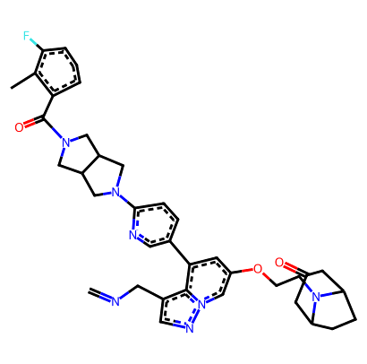 C=NCc1cnn2cc(OCCN3C4CCC3CC(=O)C4)cc(-c3ccc(N4CC5CN(C(=O)c6cccc(F)c6C)CC5C4)nc3)c12